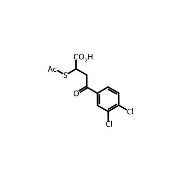 CC(=O)SC(CC(=O)c1ccc(Cl)c(Cl)c1)C(=O)O